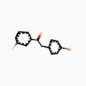 O=C(Cc1ccc(Br)cc1)c1cccc(F)c1